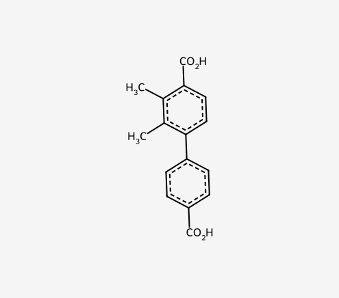 Cc1c(C(=O)O)ccc(-c2ccc(C(=O)O)cc2)c1C